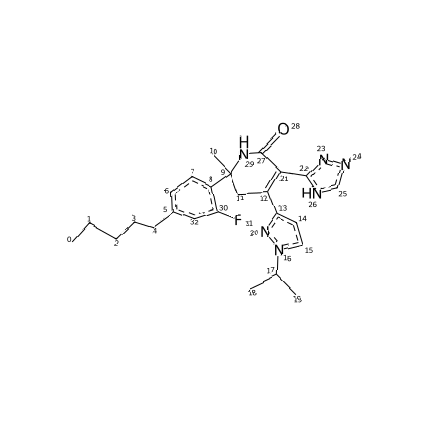 CCCCCc1ccc(C2(C)CC(c3ccn(C(C)C)n3)=C(c3nnc[nH]3)C(=O)N2)c(F)c1